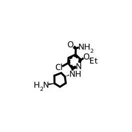 CCOc1nc(N[C@H]2CC[C@H](N)CC2)c(Cl)cc1C(N)=O